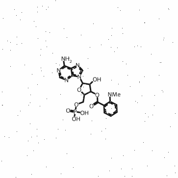 CNc1ccccc1C(=O)OC1C(COP(=O)(O)O)OC(n2cnc3c(N)ncnc32)C1O